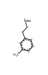 CNC[CH]c1cccc(C)c1